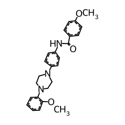 COc1ccc(C(=O)Nc2ccc(N3CCN(c4ccccc4OC)CC3)cc2)cc1